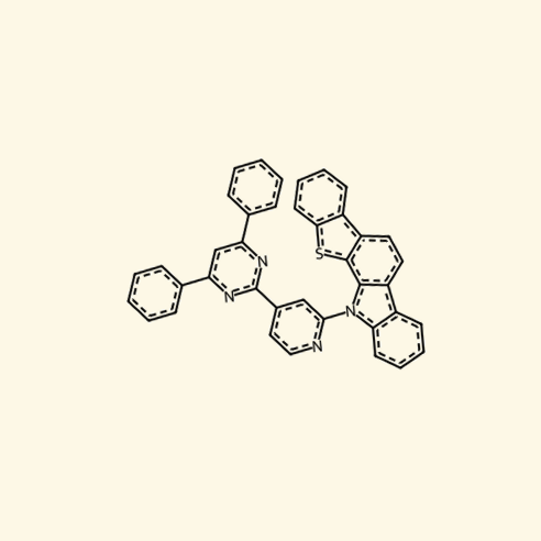 c1ccc(-c2cc(-c3ccccc3)nc(-c3ccnc(-n4c5ccccc5c5ccc6c7ccccc7sc6c54)c3)n2)cc1